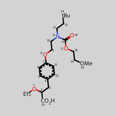 CCOC(Cc1ccc(OCCN(CCC(C)(C)C)C(=O)OCCOC)cc1)C(=O)O